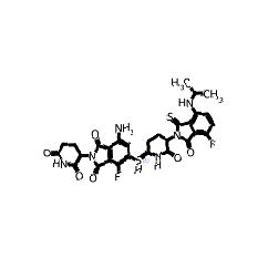 CC(C)Nc1ccc(F)c2c1C(=S)N(C1CC/C(=[SH]\c3cc(N)c4c(c3F)C(=O)N(C3CCC(=O)NC3=O)C4=O)NC1=O)C2=O